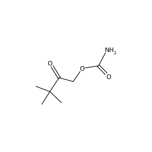 CC(C)(C)C(=O)COC(N)=O